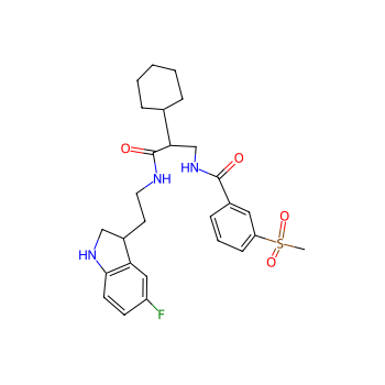 CS(=O)(=O)c1cccc(C(=O)NCC(C(=O)NCCC2CNc3ccc(F)cc32)C2CCCCC2)c1